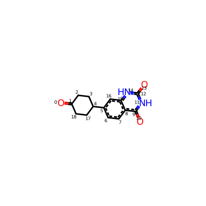 O=C1CCC(c2ccc3c(=O)[nH]c(=O)[nH]c3c2)CC1